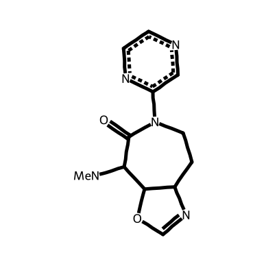 CNC1C(=O)N(c2cnccn2)CCC2N=COC21